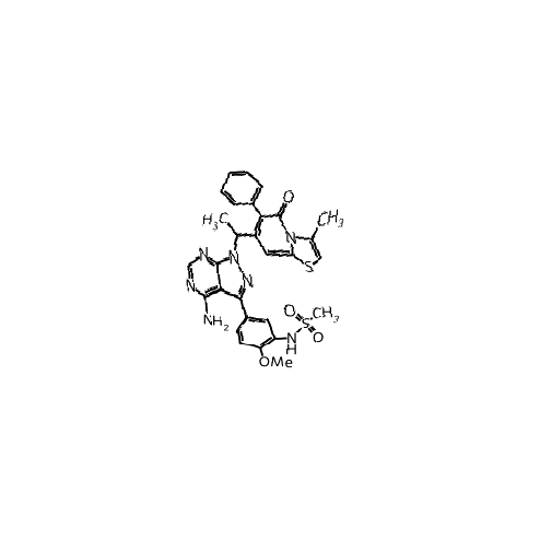 COc1ccc(-c2nn(C(C)c3cc4scc(C)n4c(=O)c3-c3ccccc3)c3ncnc(N)c23)cc1NS(C)(=O)=O